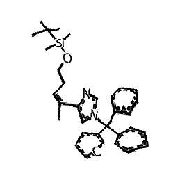 C/C(=C/CCO[Si](C)(C)C(C)(C)C)c1cn(C(c2ccccc2)(c2ccccc2)c2ccccc2)cn1